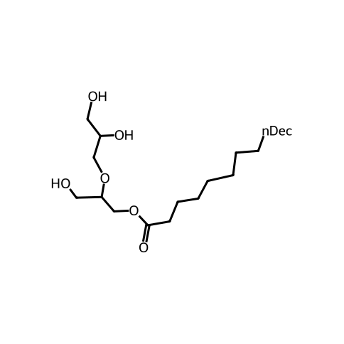 CCCCCCCCCCCCCCCCCC(=O)OCC(CO)OCC(O)CO